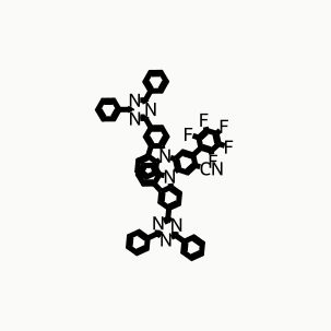 N#Cc1cc(-n2c3ccccc3c3cc(-c4nc(-c5ccccc5)nc(-c5ccccc5)n4)ccc32)c(-n2c3ccccc3c3cc(-c4nc(-c5ccccc5)nc(-c5ccccc5)n4)ccc32)cc1-c1c(F)c(F)c(F)c(F)c1F